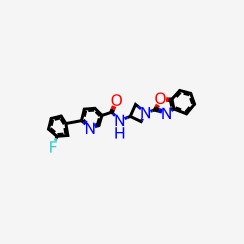 O=C(NC1CN(c2nc3ccccc3o2)C1)c1ccc(-c2cccc(F)c2)nc1